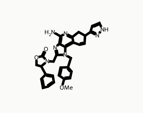 COc1ccc(Cn2c(CN3C(=O)OCC3c3ccccc3)nc3c(N)nc4c(c32)C=CC(c2cc[nH]n2)C4)cc1